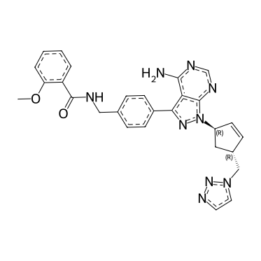 COc1ccccc1C(=O)NCc1ccc(-c2nn([C@H]3C=C[C@H](Cn4ccnn4)C3)c3ncnc(N)c23)cc1